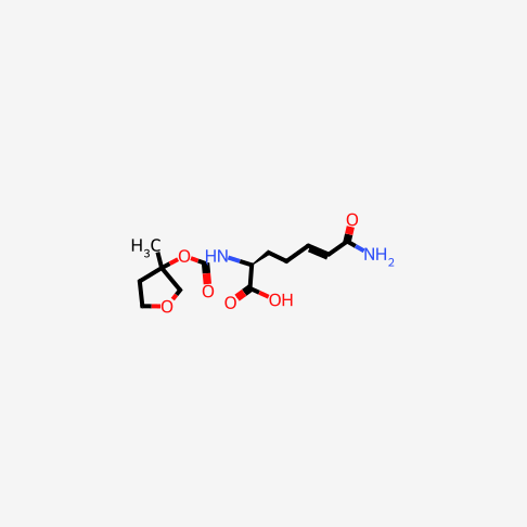 CC1(OC(=O)N[C@@H](CC/C=C/C(N)=O)C(=O)O)CCOC1